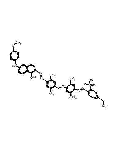 COc1ccc(Nc2ccc3c(O)c(N=Nc4cc(C)c(N=Nc5cc(C)c(N=Nc6ccc(CO)cc6S(=O)(=O)O)cc5C)cc4C)ccc3c2)cc1